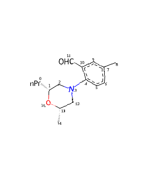 CCC[C@@H]1CN(c2ccc(C)cc2C=O)C[C@H](C)O1